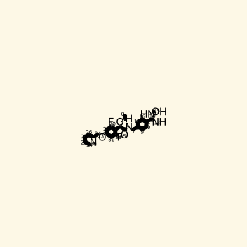 CCOC(C(=O)NCc1ccc(C(=N)NO)cc1)c1c(F)cc(OCc2ccccn2)cc1F